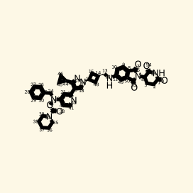 O=C1CCC(N2C(=O)c3ccc(NC[C@H]4C[C@H](n5cc(-c6cc(N(Cc7ccccc7)OC(=O)N7CCCCC7)ccn6)c(C6CC6)n5)C4)cc3C2=O)C(=O)N1